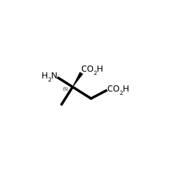 C[C@](N)(CC(=O)O)C(=O)O